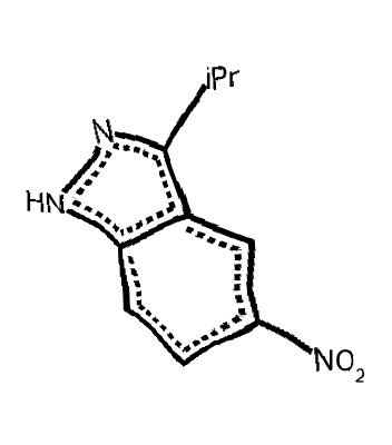 CC(C)c1n[nH]c2ccc([N+](=O)[O-])cc12